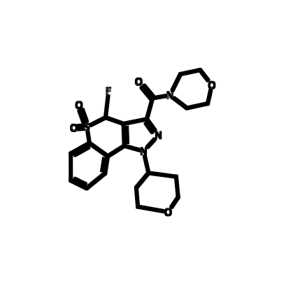 O=C(c1nn(C2CCOCC2)c2c1C(F)S(=O)(=O)c1ccccc1-2)N1CCOCC1